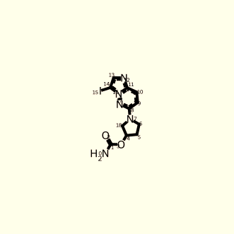 NC(=O)OC1CCN(c2ccc3ncc(I)n3n2)C1